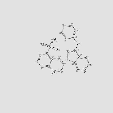 NS(=O)(=O)c1cccc2ncccc12.c1ccc(Cn2ccc3ccccc32)cc1